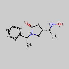 CC(NO)[C@H]1CC(=O)N([C@H](C)c2ccccc2)C1